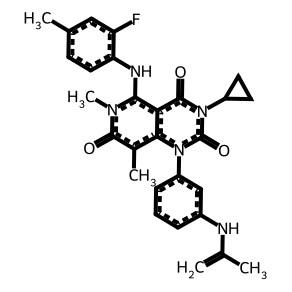 C=C(C)Nc1cccc(-n2c(=O)n(C3CC3)c(=O)c3c(Nc4ccc(C)cc4F)n(C)c(=O)c(C)c32)c1